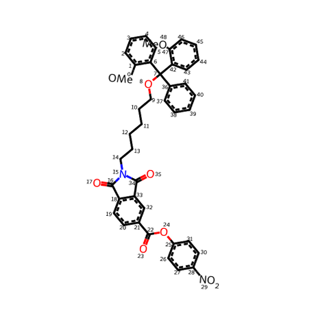 COc1ccccc1C(OCCCCCCN1C(=O)c2ccc(C(=O)Oc3ccc([N+](=O)[O-])cc3)cc2C1=O)(c1ccccc1)c1ccccc1OC